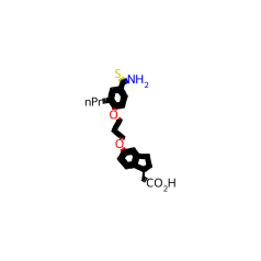 CCCc1cc(C(N)=S)ccc1OCCCOc1ccc2c(c1)CC[C@H]2CC(=O)O